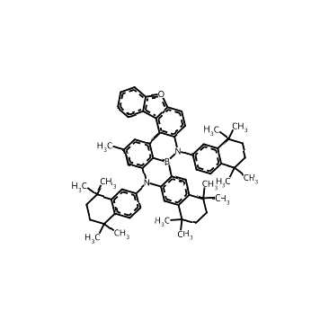 Cc1cc2c3c(c1)N(c1ccc4c(c1)C(C)(C)CCC4(C)C)c1cc4c(cc1B3N(c1ccc3c(c1)C(C)(C)CCC3(C)C)c1ccc3oc5ccccc5c3c1-2)C(C)(C)CCC4(C)C